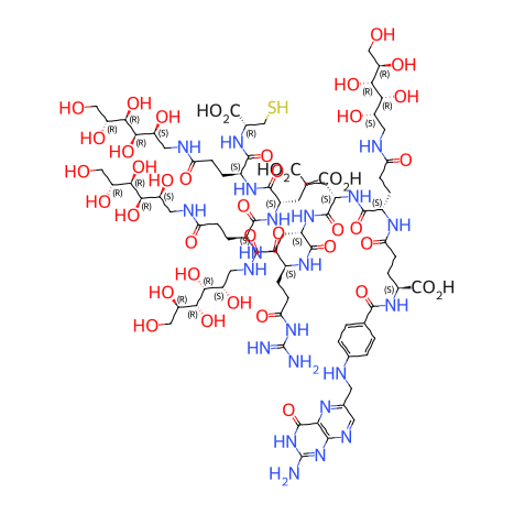 N=C(N)NC(=O)CC[C@H](NC(=O)[C@H](CCC(=O)NC[C@H](O)[C@@H](O)[C@H](O)[C@H](O)CO)NC(=O)[C@H](CCC(=O)O)NC(=O)[C@H](CCC(=O)NC[C@H](O)[C@@H](O)[C@H](O)[C@H](O)CO)NC(=O)CC[C@H](NC(=O)c1ccc(NCc2cnc3nc(N)[nH]c(=O)c3n2)cc1)C(=O)O)C(=O)N[C@@H](CCC(=O)NC[C@H](O)[C@@H](O)[C@H](O)[C@H](O)CO)C(=O)N[C@@H](CCC(=O)O)C(=O)N[C@@H](CCC(=O)NC[C@H](O)[C@@H](O)[C@H](O)[C@H](O)CO)C(=O)N[C@@H](CS)C(=O)O